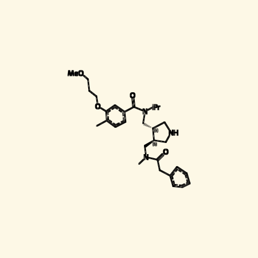 COCCCOc1cc(C(=O)N(C[C@@H]2CNC[C@H]2CN(C)C(=O)Cc2ccccc2)C(C)C)ccc1C